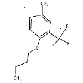 CCCCOc1ccc(C)cc1C(F)(F)F